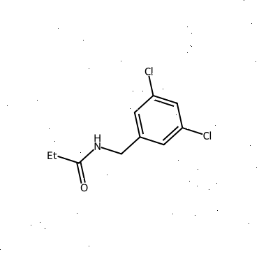 CCC(=O)NCc1cc(Cl)cc(Cl)c1